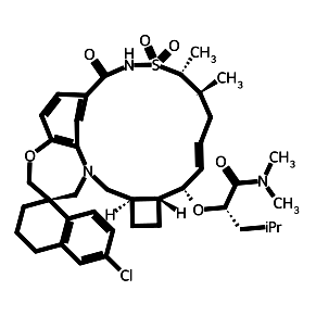 CC(C)C[C@H](O[C@H]1/C=C/C[C@H](C)[C@@H](C)S(=O)(=O)NC(=O)c2ccc3c(c2)N(C[C@@H]2CC[C@H]21)C[C@@]1(CCCc2cc(Cl)ccc21)CO3)C(=O)N(C)C